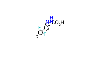 C1CC1.O=C(O)Nc1cc2ccc(-c3c(F)cccc3F)cc2cn1